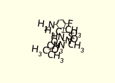 CN1/C(=N/C(=O)OC(C)(C)C)N[C@](C)(C2(C)CC(N)=CC=C2F)CS1(=O)=O